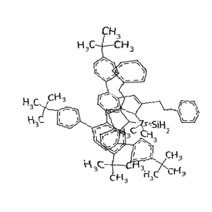 CC(C)(C)c1ccc(-c2ccc(-c3ccc(C(C)(C)C)cc3)c3c2C=C(CCc2ccccc2)[CH]3[Zr]([CH3])([CH3])(=[SiH2])[CH]2C(CCc3ccccc3)=Cc3c(-c4ccc(C(C)(C)C)cc4)ccc(-c4ccc(C(C)(C)C)cc4)c32)cc1